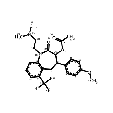 COc1ccc(C2Cc3c(cccc3C(F)(F)F)N(CCN(C)C)C(=O)C2OC(C)=O)cc1